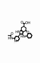 CC(=O)Nc1cc(-c2[nH]c3c(c2Nc2ccccc2)C(=O)CC(C(=O)O)C3)ccn1